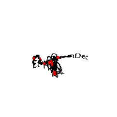 CC/C=C\C/C=C\C/C=C\C/C=C\C/C=C\CCCCCC(=O)O[C@H](COC(=O)CCCCCCCCCCCCCCCCCCC)COP(=O)(O)OCC[N+](C)(C)C